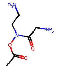 CC(=O)ON(CCN)C(=O)CN